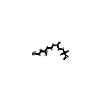 COC(C)(C)CCC(C)C/C=C/C(C)=C/CBr